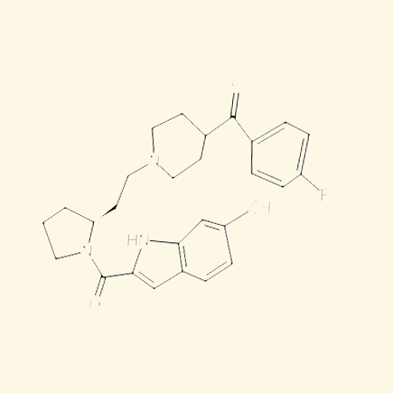 Cc1ccc2cc(C(=O)N3CCC[C@H]3CCN3CCC(C(=O)c4ccc(F)cc4)CC3)[nH]c2c1